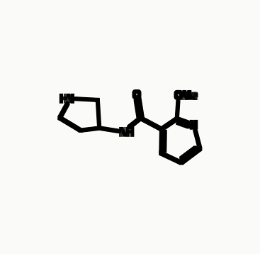 COc1ncccc1C(=O)NC1CCNC1